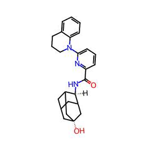 O=C(N[C@H]1C2CC3CC1C[C@](O)(C3)C2)c1cccc(N2CCCc3ccccc32)n1